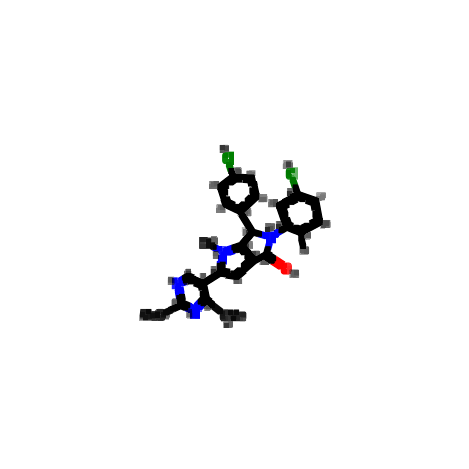 CCn1c(-c2cnc(OC)nc2OC)cc2c1C(c1ccc(Cl)cc1)N(c1cc(Cl)ccc1C)C2=O